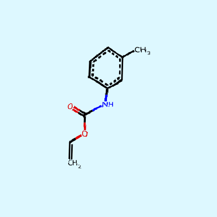 C=COC(=O)Nc1cccc(C)c1